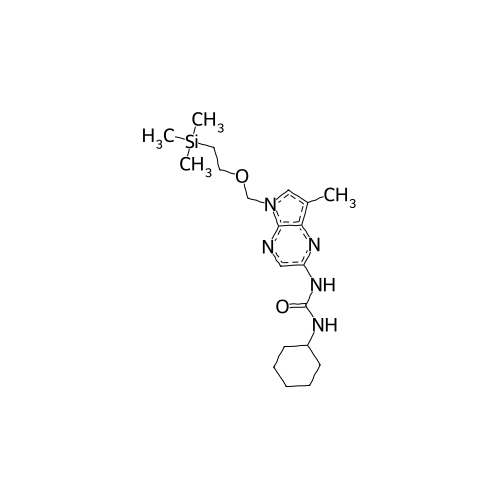 Cc1cn(COCC[Si](C)(C)C)c2ncc(NC(=O)NC3CCCCC3)nc12